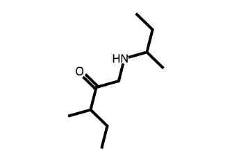 CCC(C)NCC(=O)C(C)CC